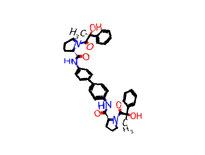 C[C@@](O)(C(=O)N1CCC[C@H]1C(=O)Nc1ccc(-c2ccc(NC(=O)[C@@H]3CCCN3C(=O)[C@@](C)(O)c3ccccc3)cc2)cc1)c1ccccc1